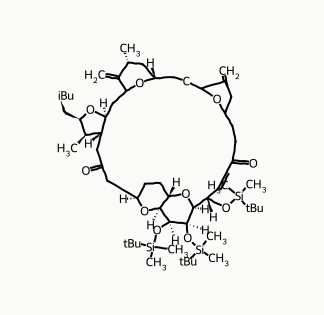 C=C1CC2CCC(=O)/C=C/[C@H](O[Si](C)(C)C(C)(C)C)[C@@H]3O[C@H]4CC[C@H](CC(=O)C[C@@H]5[C@@H](C)[C@@H](C[C@H](C)CC)O[C@H]5CC5O[C@@H](CCC1O2)C[C@@H](C)C5=C)O[C@@H]4[C@H](O[Si](C)(C)C(C)(C)C)[C@@H]3O[Si](C)(C)C(C)(C)C